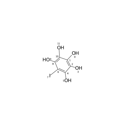 Oc1c(O)c(O)c(I)c(O)c1O